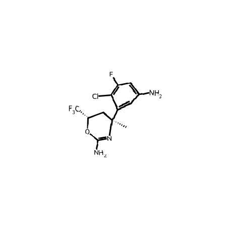 C[C@@]1(c2cc(N)cc(F)c2Cl)C[C@@H](C(F)(F)F)OC(N)=N1